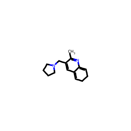 Cc1nc2c(cc1CN1CCCC1)=CCCC=2